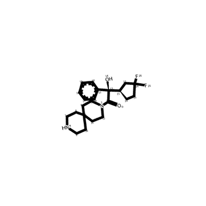 O=C(N1CCC2(CCNCC2)CC1)[C@](O)(c1ccccc1)[C@@H]1CCC(F)(F)C1